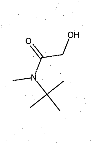 CN(C(=O)CO)C(C)(C)C